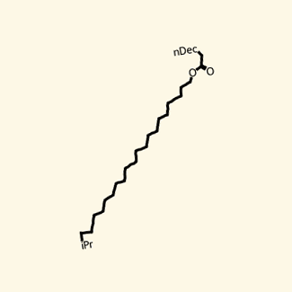 CCCCCCCCCCCC(=O)OCCCCCCCCCCCCCCCCCCCCC(C)C